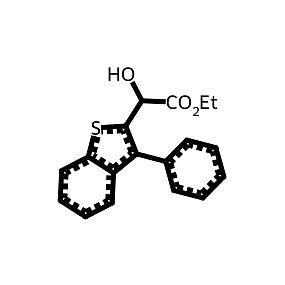 CCOC(=O)C(O)c1sc2ccccc2c1-c1ccccc1